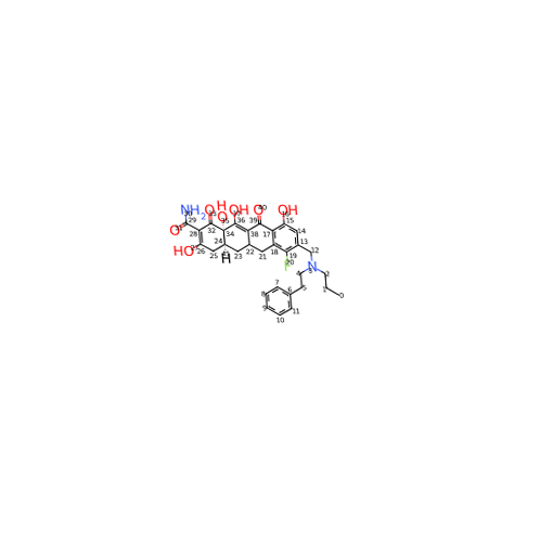 CCCN(CCc1ccccc1)Cc1cc(O)c2c(c1F)CC1C[C@H]3CC(O)=C(C(N)=O)C(=O)[C@@]3(O)C(O)=C1C2=O